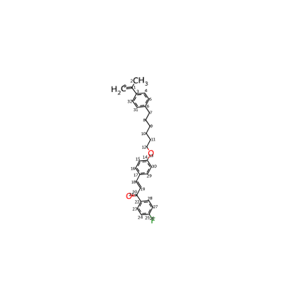 C=C(C)c1ccc(CCCCCCOc2ccc(/C=C/C(=O)c3ccc(F)cc3)cc2)cc1